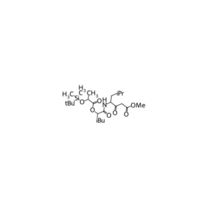 CCC(C)C(OC(=O)C(C)O[Si](C)(C)C(C)(C)C)C(=O)NC(CC(C)C)C(=O)CC(=O)OC